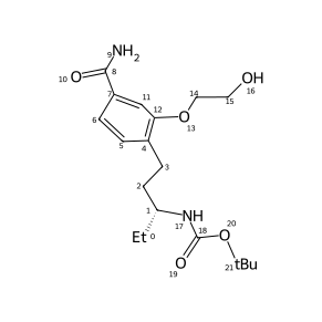 CC[C@H](CCc1ccc(C(N)=O)cc1OCCO)NC(=O)OC(C)(C)C